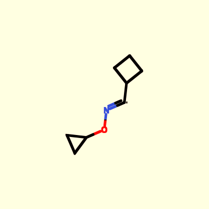 [C](=N\OC1CC1)/C1CCC1